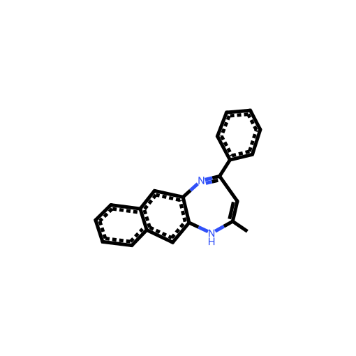 CC1=CC(c2ccccc2)=Nc2cc3ccccc3cc2N1